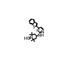 CC1(C)CC(Nc2nccc(-c3cc4ccccc4s3)n2)CC(C)(C)N1O